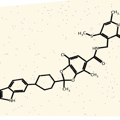 CSc1cc(C)[nH]c(=O)c1CNC(=O)c1cc(Cl)c2c(c1C)OC(C)(C1CCC(c3ccc4cc[nH]c4c3)CC1)O2